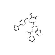 COC(=O)C(Cc1ccc(-c2ccco2)cc1)NC(=O)C(CSC(=O)c1ccccc1)Cc1ccccc1